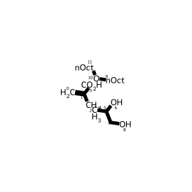 C=C(C)C(=O)O.CC(O)CO.CCCCCCCCOCCCCCCCC